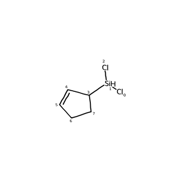 Cl[SiH](Cl)C1C=CCC1